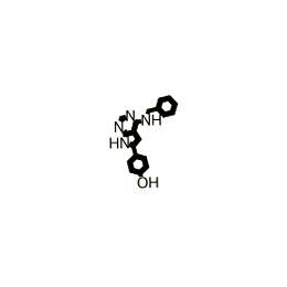 Oc1ccc(-c2cc3c(NCc4ccccc4)ncnc3[nH]2)cc1